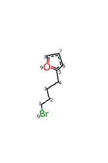 BrCCCCc1ccco1